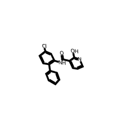 O=C(Nc1cc(Cl)ccc1-c1ccccc1)c1cccnc1O